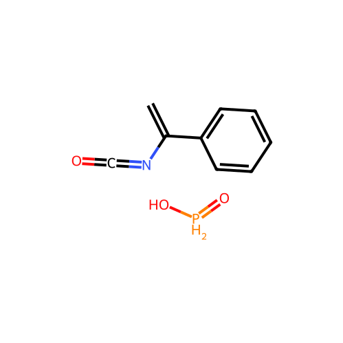 C=C(N=C=O)c1ccccc1.O=[PH2]O